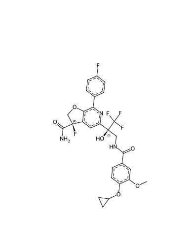 COc1cc(C(=O)NC[C@](O)(c2cc3c(c(-c4ccc(F)cc4)n2)OC[C@@]3(F)C(N)=O)C(F)(F)F)ccc1OC1CC1